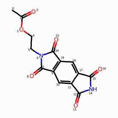 CC(=O)OCCn1c(=O)c2cc3c(=O)[nH]c(=O)c3cc2c1=O